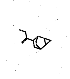 C=C(CC)C1CC2CCC1C1CC21